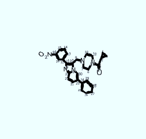 O=C(C1CC1)N1CCN(Cc2c(-c3cccc([N+](=O)[O-])c3)nc3ccc(-c4ccccc4)cn23)CC1